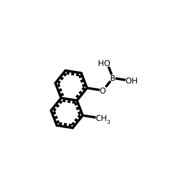 Cc1cccc2cccc(OB(O)O)c12